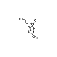 Cc1cnc2c(c1)nc(NC=O)n2C/C=C/CN